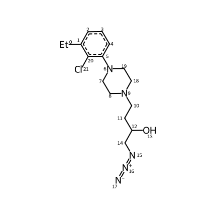 CCc1cccc(N2CCN(CCC(O)CN=[N+]=[N-])CC2)c1Cl